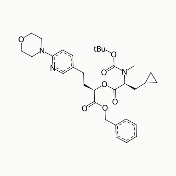 CN(C(=O)OC(C)(C)C)[C@@H](CC1CC1)C(=O)O[C@H](CCc1ccc(N2CCOCC2)nc1)C(=O)OCc1ccccc1